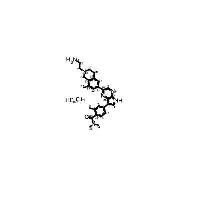 Cc1cc(-c2c[nH]c3ncc(-c4cc(C)c5c(c4)CCN(CCN)C5)nc23)ccc1C(=O)N(C)C.Cl.Cl